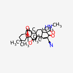 CNC(=O)[C@]1(C)C(=O)C(C#N)=C[C@]2(C)C3=CC(=O)[C@]45OC(=O)[C@@]6(CCC(C)(C)CC64)CC[C@@]5(C)[C@]3(C)CC[C@@H]12